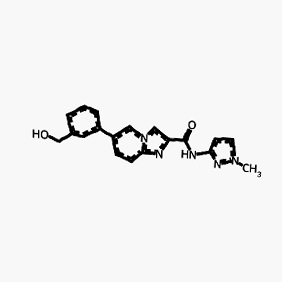 Cn1ccc(NC(=O)c2cn3cc(-c4cccc(CO)c4)ccc3n2)n1